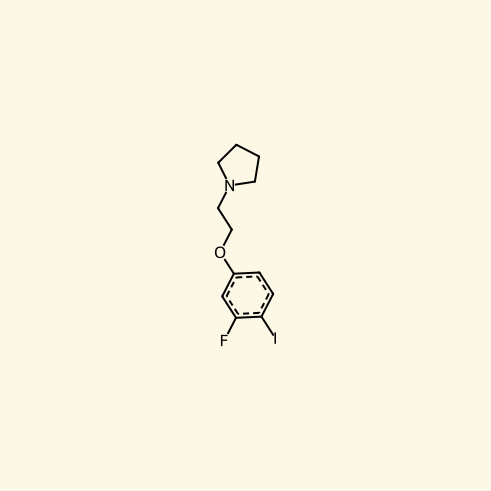 Fc1cc(OCCN2CCCC2)ccc1I